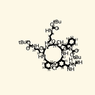 CN1C(=O)[C@H](CCCCNC(=O)OC(C)(C)C)NC(=O)[C@H](CCCNC(=O)OC(C)(C)C)NCc2cccnc2Sc2c(Cl)cc(C(=N)NN=N)cc2CNC(=O)[C@@H]1Cc1cn(C(=O)OC(C)(C)C)c2ccccc12